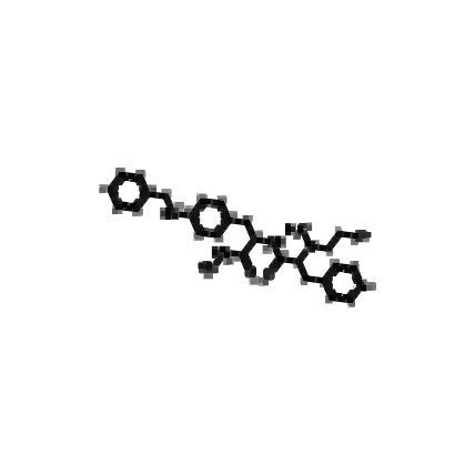 CC(C)CCN(C)C(Cc1ccncc1)C(=O)NC(Cc1ccc(NCc2ccccc2)cc1)C(=O)NC(C)(C)C